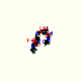 O=C(O)c1cc(CN2CC(Oc3ccc(NS(=O)(=O)c4cnn(-c5ccc(F)cc5)c4)c(C(=O)O)c3)C2)ccc1NS(=O)(=O)c1cnn(-c2ccc(F)cc2)c1